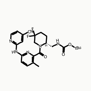 Cc1ccc(Nc2cc(C#N)ccn2)nc1C(=O)N1CC(F)(F)CC[C@@H]1CNC(=O)OC(C)(C)C